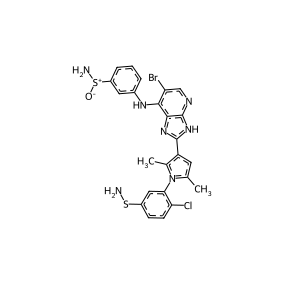 Cc1cc(-c2nc3c(Nc4cccc([S+](N)[O-])c4)c(Br)cnc3[nH]2)c(C)n1-c1cc(SN)ccc1Cl